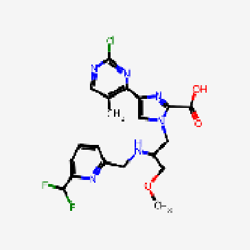 COCC(Cn1cc(-c2nc(Cl)ncc2C)nc1C(=O)O)NCc1cccc(C(F)F)n1